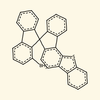 Bc1cccc2c1C1(c3ccccc3-2)c2ccccc2-c2c1ccc1c2sc2ccccc21